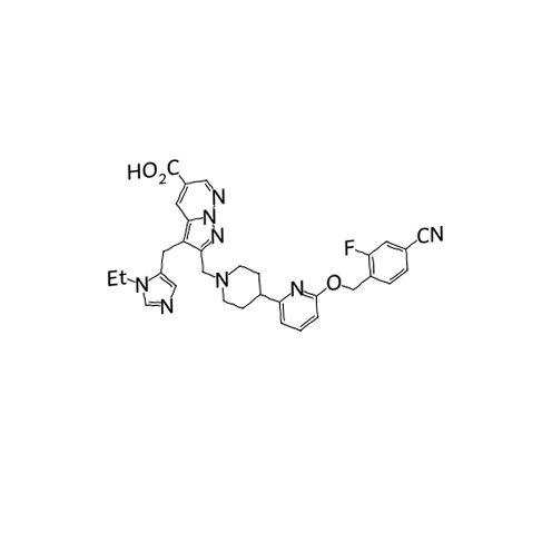 CCn1cncc1Cc1c(CN2CCC(c3cccc(OCc4ccc(C#N)cc4F)n3)CC2)nn2ncc(C(=O)O)cc12